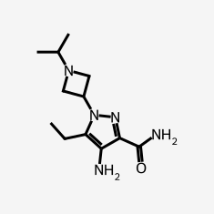 CCc1c(N)c(C(N)=O)nn1C1CN(C(C)C)C1